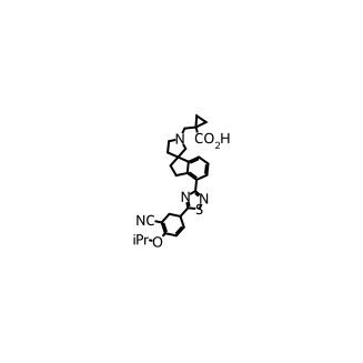 CC(C)OC1=C(C#N)CC(c2nc(-c3cccc4c3CCC43CCN(CC4(C(=O)O)CC4)C3)ns2)C=C1